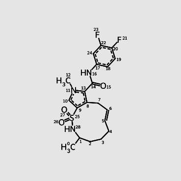 CC1CCC/C=C/Cc2c(cn(C)c2C(=O)Nc2ccc(F)c(F)c2)S(=O)(=O)N1